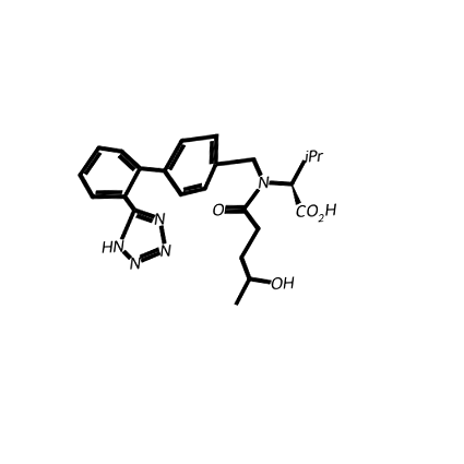 CC(O)CCC(=O)N(Cc1ccc(-c2ccccc2-c2nnn[nH]2)cc1)[C@H](C(=O)O)C(C)C